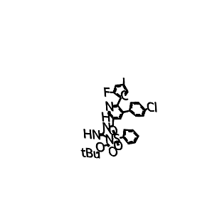 Cc1ccc(-c2ncc(CNC(=N)N(C(=O)OC(C)(C)C)S(=O)(=O)c3ccccc3)cc2-c2ccc(Cl)cc2)c(F)c1